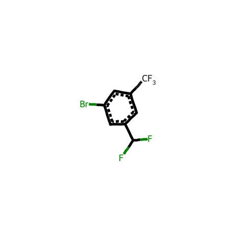 FC(F)c1cc(Br)cc(C(F)(F)F)c1